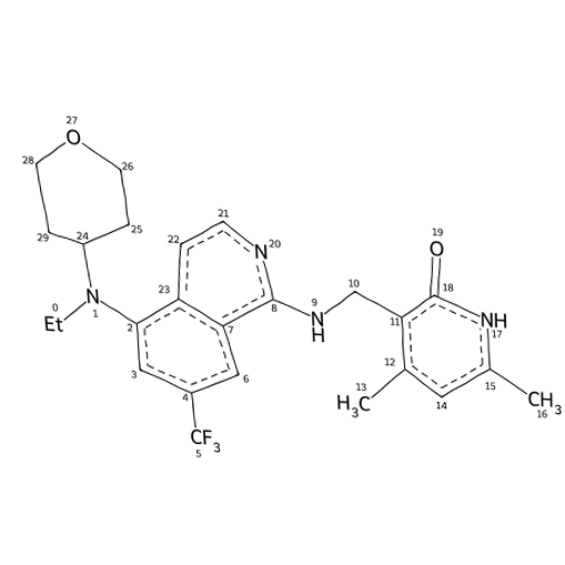 CCN(c1cc(C(F)(F)F)cc2c(NCc3c(C)cc(C)[nH]c3=O)nccc12)C1CCOCC1